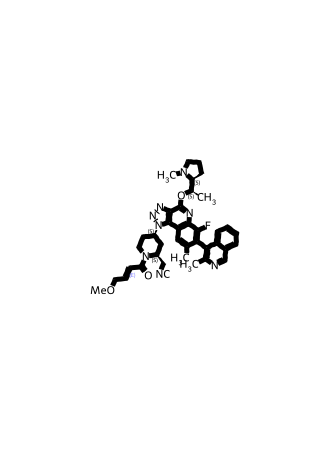 COC/C=C/C(=O)N1CC[C@H](n2nnc3c(O[C@@H](C)[C@@H]4CCCN4C)nc4c(F)c(-c5c(C)ncc6ccccc56)c(C)cc4c32)C[C@H]1CC#N